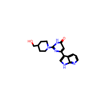 O=c1cc(-c2c[nH]c3ncccc23)nc(N2CCC(CO)CC2)[nH]1